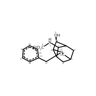 CCOC(=O)NC1C2CC3CC1[C@H](O)C2N(Cc1ccccc1)C3